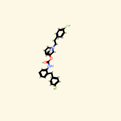 O=C(Nc1ccccc1Cc1ccc(F)cc1)OC1C[N+]2(CCc3ccc(F)cc3)CCC1CC2